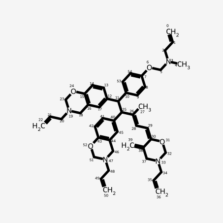 C=CCN(C)COc1ccc(C(c2ccc3c(c2)CN(CC=C)CO3)C(/C(C)=C/C=C2/OCN(CC=C)CC2=C)c2ccc3c(c2)CN(CC=C)CO3)cc1